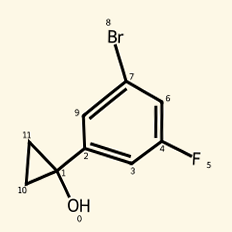 OC1(c2cc(F)cc(Br)c2)CC1